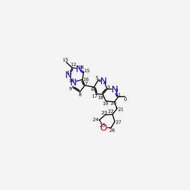 CC1=Nc2ncc(-c3ccn4nc(C)ncc34)cc2C[C@@H]1CC1CCOCC1